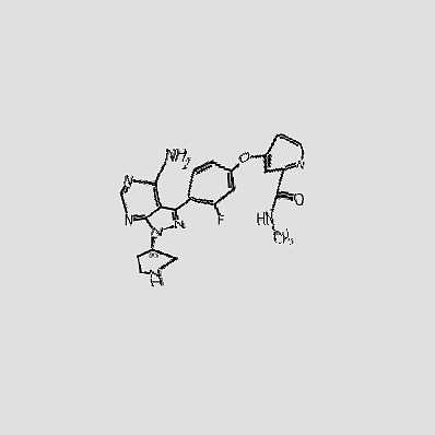 CNC(=O)c1cc(Oc2ccc(-c3nn([C@@H]4CCNC4)c4ncnc(N)c34)c(F)c2)ccn1